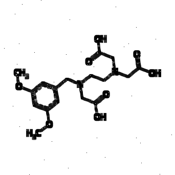 COc1cc(CN(CCN(CC(=O)O)CC(=O)O)CC(=O)O)cc(OC)c1